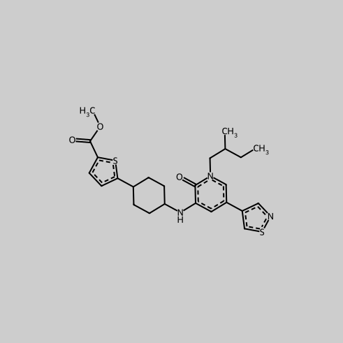 CCC(C)Cn1cc(-c2cnsc2)cc(NC2CCC(c3ccc(C(=O)OC)s3)CC2)c1=O